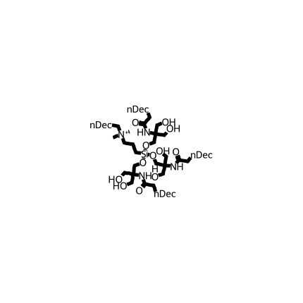 CCCCCCCCCCCC(=O)NC(CO)(CO)CO[Si](CCC[N+](C)(C)CCCCCCCCCCC)(OCC(CO)(CO)NC(=O)CCCCCCCCCCC)OCC(CO)(CO)NC(=O)CCCCCCCCCCC